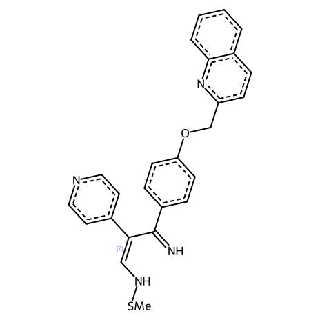 CSN/C=C(\C(=N)c1ccc(OCc2ccc3ccccc3n2)cc1)c1ccncc1